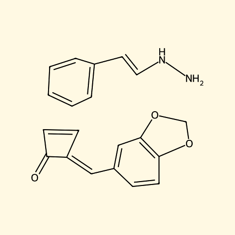 NNC=Cc1ccccc1.O=C1C=CC1=Cc1ccc2c(c1)OCO2